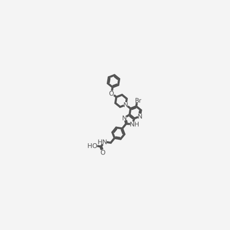 O=C(O)NCc1ccc(-c2nc3c(N4CCC(Oc5ccccc5)CC4)c(Br)cnc3[nH]2)cc1